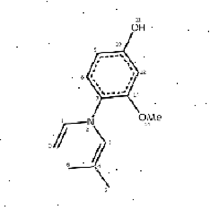 C=CN(C=C(C)C)c1ccc(O)cc1OC